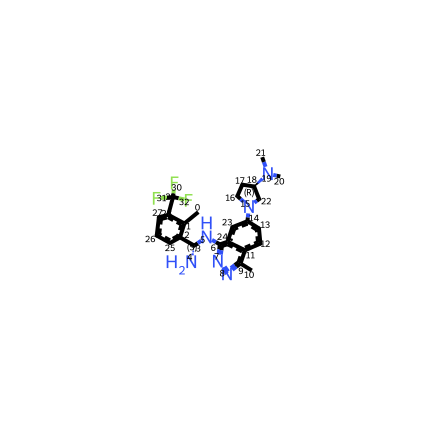 Cc1c([C@@H](N)Nc2nnc(C)c3ccc(N4CC[C@@H](N(C)C)C4)cc23)cccc1C(F)(F)F